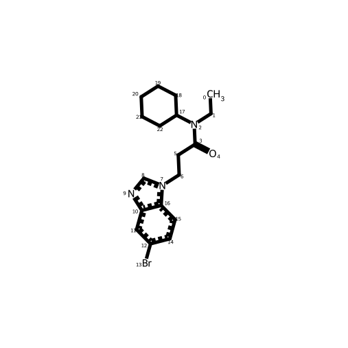 CCN(C(=O)CCn1cnc2cc(Br)ccc21)C1CCCCC1